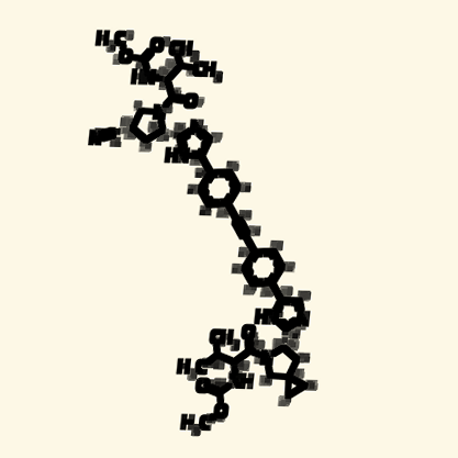 COC(=O)N[C@H](C(=O)N1C[C@@H](C#N)C[C@H]1c1ncc(-c2ccc(C#Cc3ccc(-c4cnc([C@@H]5CC6(CC6)CN5C(=O)[C@@H](NC(=O)OC)C(C)C)[nH]4)cc3)cc2)[nH]1)C(C)C